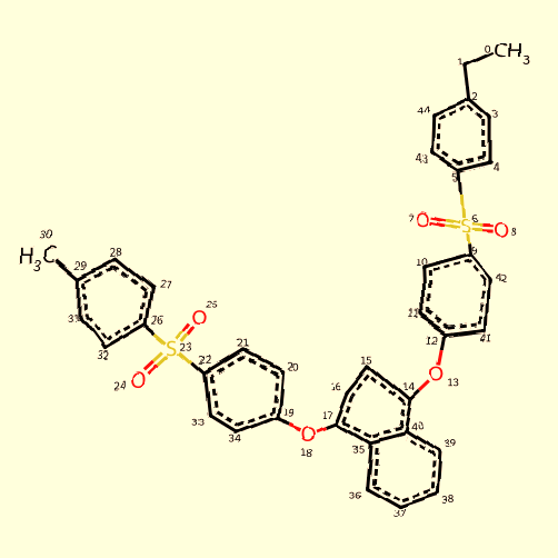 CCc1ccc(S(=O)(=O)c2ccc(Oc3ccc(Oc4ccc(S(=O)(=O)c5ccc(C)cc5)cc4)c4ccccc34)cc2)cc1